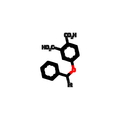 CCC(Oc1ccc(C(=O)O)c(C(=O)O)c1)c1ccccc1